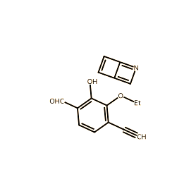 C#Cc1ccc(C=O)c(O)c1OCC.c1cc2ncc1-2